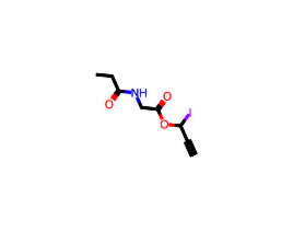 C#CC(I)OC(=O)CNC(=O)CC